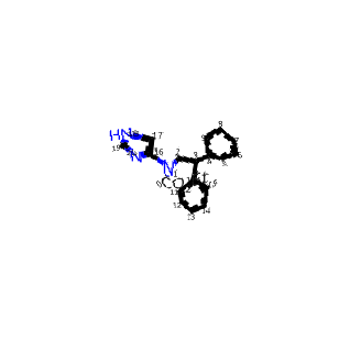 CCOC(=O)N(CC(c1ccccc1)c1ccccc1)c1c[nH]cn1